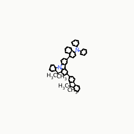 CC1(C)c2ccccc2-c2ccc(-c3cc4c5c(c3)c3cc(-c6ccc(N(c7ccccc7)c7ccccc7)c7ccccc67)ccc3n5-c3ccccc3C4(C)C)cc21